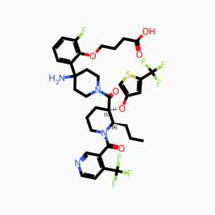 CCC[C@H]1N(C(=O)c2cnccc2C(F)(F)F)CCC[C@@]1(Oc1csc(C(F)(F)F)c1)C(=O)N1CCC(N)(c2cccc(F)c2OCCCC(=O)O)CC1